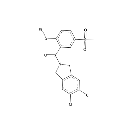 CCSc1ccc(S(C)(=O)=O)cc1C(=O)N1Cc2cc(Cl)c(Cl)cc2C1